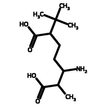 CC(C(=O)O)C(N)CCC(C(=O)O)C(C)(C)C